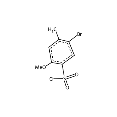 COc1cc(C)c(Br)cc1S(=O)(=O)Cl